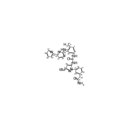 Cc1ccc(NC(=O)Nc2cc(C(C)(C)C)nn2-c2cccc(CC(N)=O)c2)cc1Nc1nccc(-c2ccccn2)n1